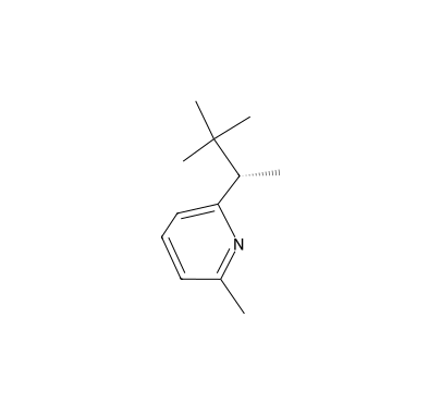 Cc1cccc([C@@H](C)C(C)(C)C)n1